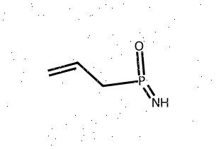 C=CCP(=N)=O